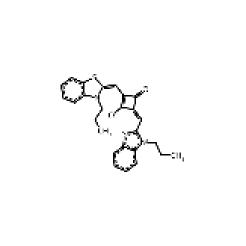 CCCN1C(=CC2=C([O-])C(=Cc3sc4ccccc4[n+]3CCC)C2=O)Sc2ccccc21